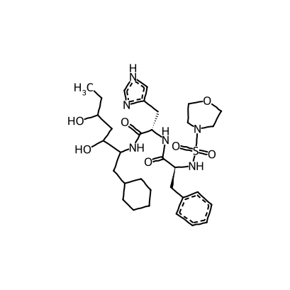 CCC(O)CC(O)C(CC1CCCCC1)NC(=O)[C@H](Cc1c[nH]cn1)NC(=O)[C@H](Cc1ccccc1)NS(=O)(=O)N1CCOCC1